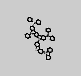 c1ccc(B(c2ccccc2)c2ccc3c(c2)c2cc4c5cc(B(c6ccccc6)c6ccccc6)ccc5n(-c5ccc6oc7ccc(-n8c9ccccc9c9ccccc98)cc7c6c5)c4cc2n3-c2ccccc2)cc1